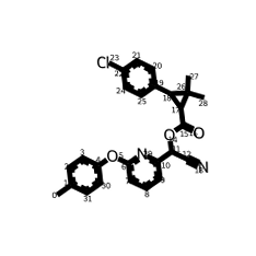 Cc1ccc(Oc2cccc(C(C#N)OC(=O)C3C(c4ccc(Cl)cc4)C3(C)C)n2)cc1